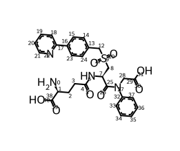 N[C@@H](CCC(=O)N[C@@H](CS(=O)(=O)Cc1ccc(-c2ccccn2)cc1)C(=O)N(CC(=O)O)c1ccccc1)C(=O)O